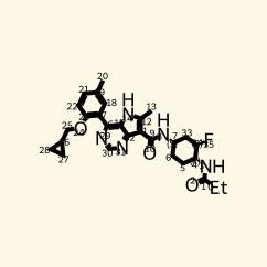 CCC(=O)N[C@@H]1CC[C@H](NC(=O)c2c(C)[nH]c3c(-c4cc(C)ccc4OCC4CC4)ncnc23)C[C@H]1F